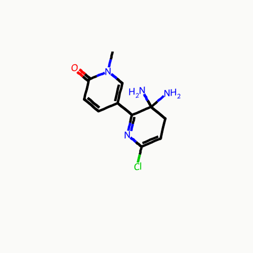 Cn1cc(C2=NC(Cl)=CCC2(N)N)ccc1=O